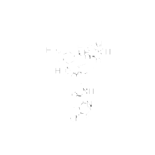 Cc1cc(C)c(C2=C(OC(=O)C(C)(C)C)CC(CCNC(=O)c3cc(Cl)ccn3)C2=O)c(C)c1